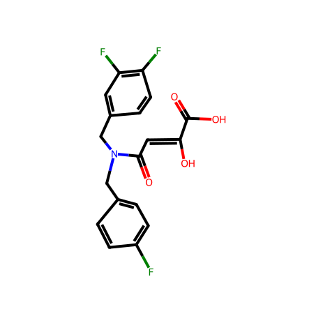 O=C(O)C(O)=CC(=O)N(Cc1ccc(F)cc1)Cc1ccc(F)c(F)c1